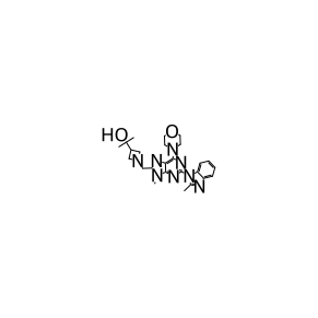 Cc1nc2ccccc2n1-c1nc(N2CCOCC2)c2nc(CN3CC(C(C)(C)O)C3)n(C)c2n1